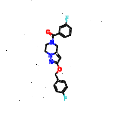 O=C(c1cccc(F)c1)N1CCn2nc(OCc3ccc(F)cc3)cc2C1